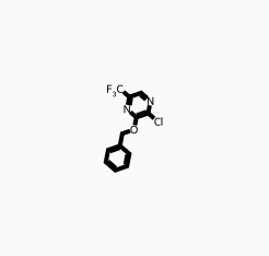 FC(F)(F)c1cnc(Cl)c(OCc2ccccc2)n1